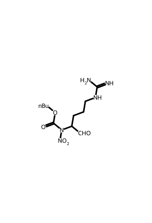 CCCCOC(=O)N(C(C=O)CCCNC(=N)N)[N+](=O)[O-]